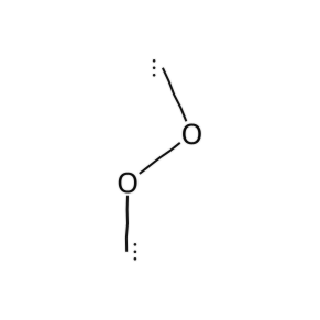 [C]OO[C]